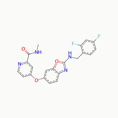 CNC(=O)c1cc(Oc2ccc3nc(NCc4ccc(F)cc4F)oc3c2)ccn1